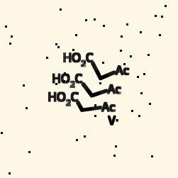 CC(=O)CC(=O)O.CC(=O)CC(=O)O.CC(=O)CC(=O)O.[V]